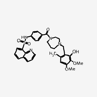 COc1cc(C)c(CN2CCCN(C(=O)c3ccc(NS(=O)(=O)c4cccc5cccnc45)cc3)CC2)c(O)c1OC